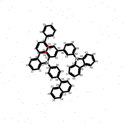 c1ccc(-c2ccc(-c3ccccc3N(c3ccc(-c4cccc5ccccc45)cc3)c3cccc(-c4cccc(-n5c6ccccc6c6ccccc65)c4)c3)cc2)cc1